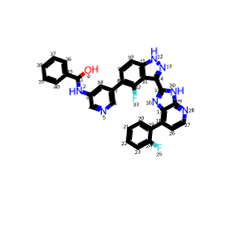 OC(Nc1cncc(-c2ccc3[nH]nc(-c4nc5c(-c6ccccc6F)ccnc5[nH]4)c3c2F)c1)c1ccccc1